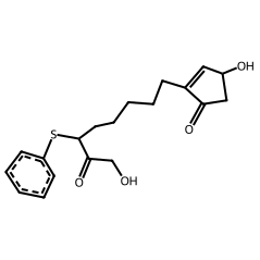 O=C1CC(O)C=C1CCCCCC(Sc1ccccc1)C(=O)CO